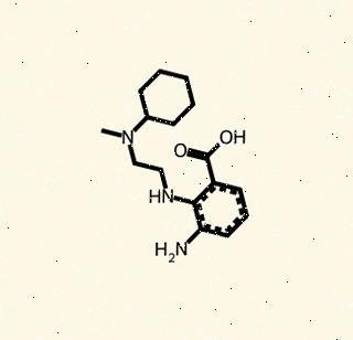 CN(CCNc1c(N)cccc1C(=O)O)C1CCCCC1